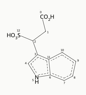 O=C(O)CC(c1c[nH]c2ccccc12)S(=O)(=O)O